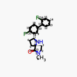 CN1CC[C@@]2(CC[C@H](c3cc(-c4ccccc4F)ccc3F)N2)C1=O